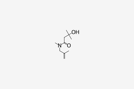 C=C(C)CN(C)C(=O)CC(C)(C)O